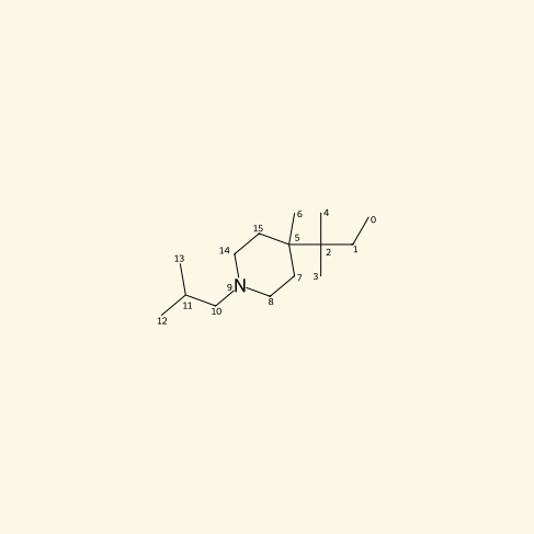 CCC(C)(C)C1(C)CCN(CC(C)C)CC1